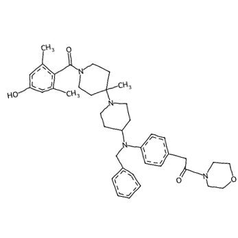 Cc1cc(O)cc(C)c1C(=O)N1CCC(C)(N2CCC(N(Cc3ccccc3)c3ccc(CC(=O)N4CCOCC4)cc3)CC2)CC1